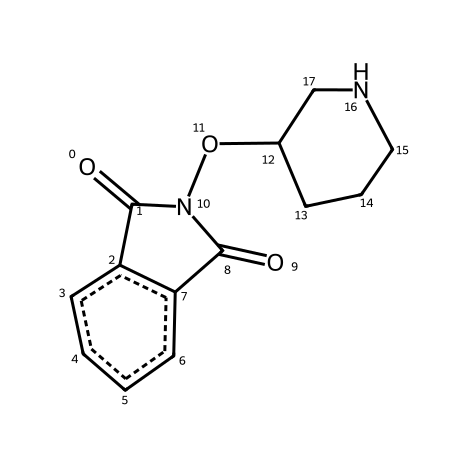 O=C1c2ccccc2C(=O)N1OC1CCCNC1